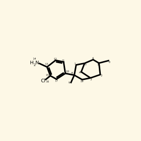 CC1CC2CC(C1)CC(C)(c1ccc(N)c(Cl)c1)C2